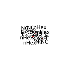 [C-]#[N+]/C(C#N)=C1\C(=C\c2cc3c(s2)-c2sc4c(OCCCCCCCC)c5c6c(sc5c(O)c4c2C3(c2ccc(CCCCCC)cc2)c2ccc(CCCCCC)cc2)-c2sc(/C=C3\C(=O)c4cc5cc(F)c(F)cc5cc4\C3=C(\C#N)[N+]#[C-])cc2C6(c2ccc(CCCCCC)cc2)c2ccc(CCCCCC)cc2)C(=O)c2cc3cc(F)c(F)cc3cc21